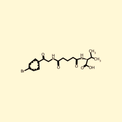 CC(C)[C@H](NC(=O)CCCC(=O)NCC(=O)c1ccc(Br)cc1)C(=O)O